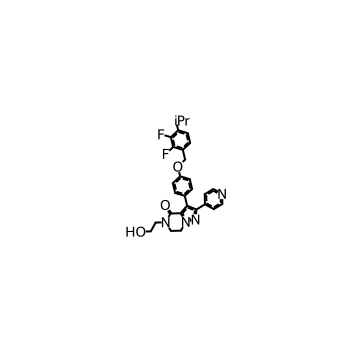 CC(C)c1ccc(COc2ccc(-c3c(-c4ccncc4)nn4c3C(=O)N(CCO)CC4)cc2)c(F)c1F